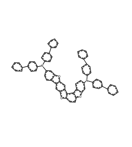 c1ccc(-c2ccc(N(c3ccc(-c4ccccc4)cc3)c3ccc4c(c3)oc3cc5c(cc34)oc3ccc4oc6cc(N(c7ccc(-c8ccccc8)cc7)c7ccc(-c8ccccc8)cc7)ccc6c4c35)cc2)cc1